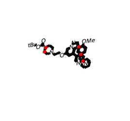 COc1ccc(CN2CC3CC(C2)N3c2ccc(-c3cc(OCCN4CC5CCC4CN5C(=O)OC(C)(C)C)cn4nccc34)cn2)cc1